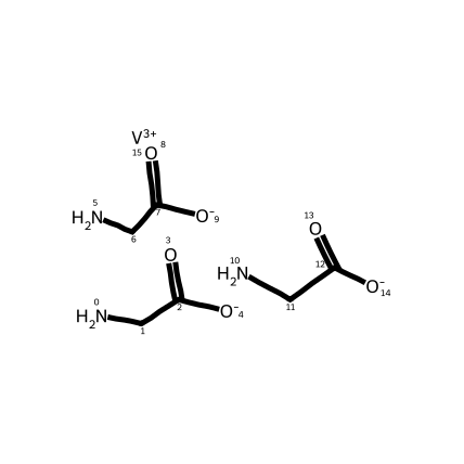 NCC(=O)[O-].NCC(=O)[O-].NCC(=O)[O-].[V+3]